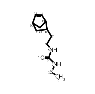 CSNC(=O)NCCC1CC2C=CC1C2